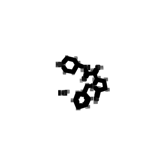 Cl.O=C(NC1CCNCC1)C(=O)[C@H]1CCC(=O)N1Cc1ccccc1